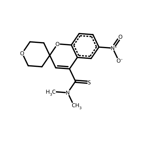 CN(C)C(=S)C1=CC2(CCOCC2)Oc2ccc([N+](=O)[O-])cc21